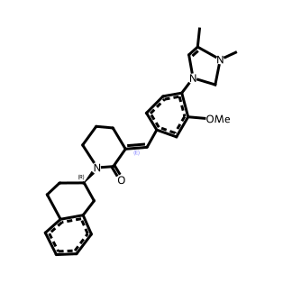 COc1cc(/C=C2\CCCN([C@@H]3CCc4ccccc4C3)C2=O)ccc1N1C=C(C)N(C)C1